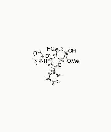 C1COCCN1.COc1c(O)cc(O)c2c(=O)cc(-c3ccccc3)oc12